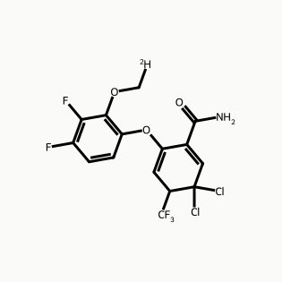 [2H]COc1c(OC2=CC(C(F)(F)F)C(Cl)(Cl)C=C2C(N)=O)ccc(F)c1F